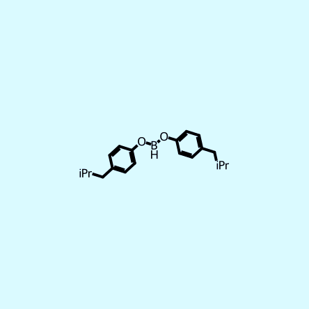 CC(C)Cc1ccc(OBOc2ccc(CC(C)C)cc2)cc1